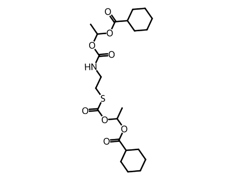 CC(OC(=O)NCCSC(=O)OC(C)OC(=O)C1CCCCC1)OC(=O)C1CCCCC1